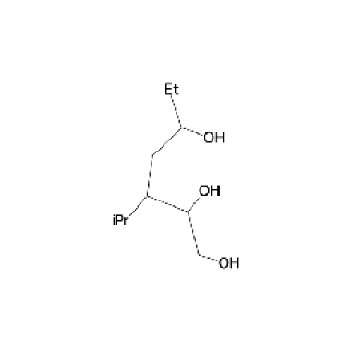 CCC(O)CC(C(C)C)C(O)CO